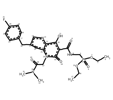 CCOP(=O)(CNC(=O)c1c(O)c2ncc(Cc3ccc(F)cc3)cc2n(CC(=O)N(C)C)c1=O)OCC